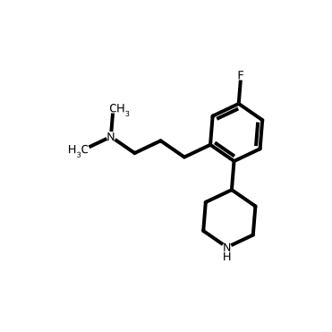 CN(C)CCCc1cc(F)ccc1C1CCNCC1